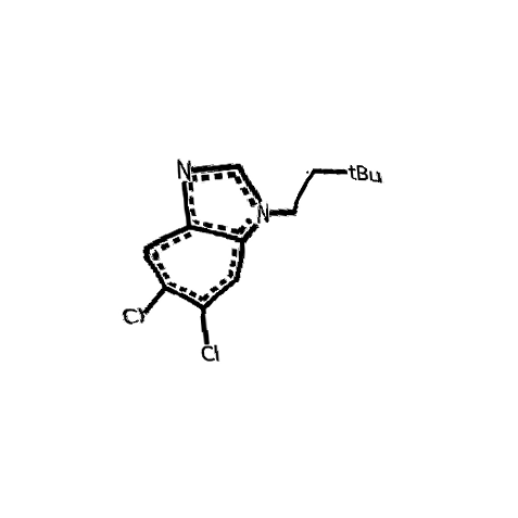 CC(C)(C)[CH]Cn1cnc2cc(Cl)c(Cl)cc21